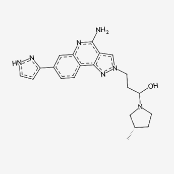 C[C@H]1CCN(C(O)CCn2cc3c(N)nc4cc(-c5cc[nH]n5)ccc4c3n2)C1